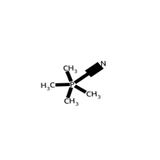 CP(C)(C)(C)C#N